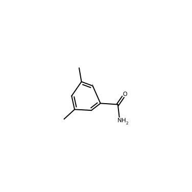 Cc1[c]c(C(N)=O)cc(C)c1